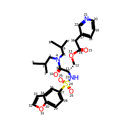 CC(C)CN(CC(C)C)C(=O)[C@H](COC(=O)Cc1cccnc1)NS(=O)(=O)c1ccc2occc2c1